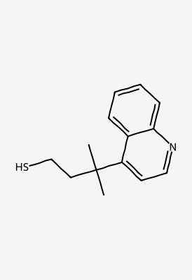 CC(C)(CCS)c1ccnc2ccccc12